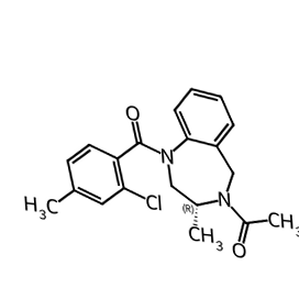 CC(=O)N1Cc2ccccc2N(C(=O)c2ccc(C)cc2Cl)C[C@H]1C